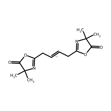 CC1(C)N=C(C/C=C/CC2=NC(C)(C)C(=O)O2)OC1=O